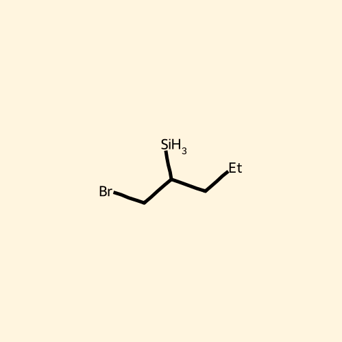 CCCC([SiH3])CBr